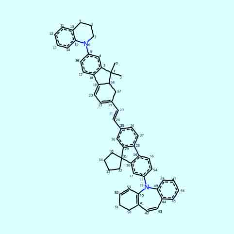 CC1(C)c2cc(N3CCCc4ccccc43)ccc2C2=CC=C(/C=C/c3ccc4c(c3)C3(CCCC3)c3cc(N5C6=C(C=Cc7ccccc75)CCC=C6)ccc3-4)CC21